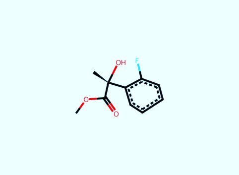 COC(=O)[C@](C)(O)c1ccccc1F